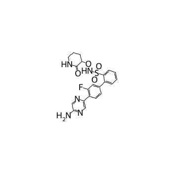 Nc1cnc(-c2ccc(-c3ccccc3S(=O)(=O)NOC3CCCNC3=O)cc2F)cn1